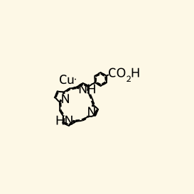 O=C(O)c1ccc(-c2cc3cc4nc(cc5ccc(cc6nc(cc2[nH]3)C=C6)[nH]5)C=C4)cc1.[Cu]